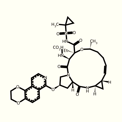 CC[C@]1(C(=O)NS(=O)(=O)C2(C)CC2)O[C@H](C)CC/C=C\[C@@H]2C[C@H]2NC(=O)[C@@H]2C[C@@H](Oc3nccc4c5c(ccc34)OCCO5)CN2C(=O)[C@H]1NC(=O)O